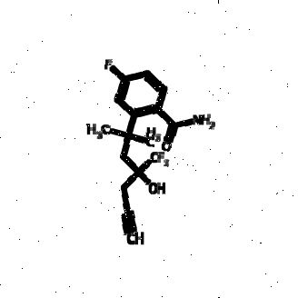 C#CCC(O)(CC(C)(C)c1cc(F)ccc1C(N)=O)C(F)(F)F